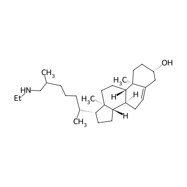 CCNCC(C)CCCC(C)[C@H]1CC[C@H]2[C@@H]3CC=C4C[C@@H](O)CC[C@]4(C)[C@H]3CC[C@]12C